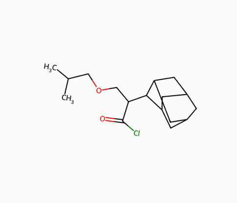 CC(C)COCC(C(=O)Cl)C1C2CC3CC(C2)CC1C3